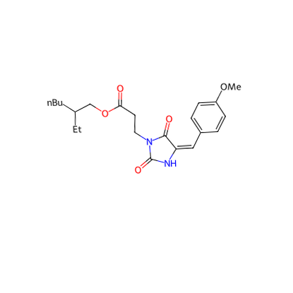 CCCCC(CC)COC(=O)CCN1C(=O)NC(=Cc2ccc(OC)cc2)C1=O